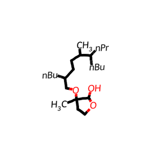 CCCCC(CCC(C)C(CCC)CCCC)COC1(C)CCOC1O